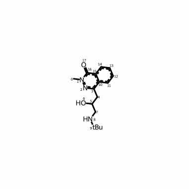 Cn1nc(CC(O)CNC(C)(C)C)c2ccccc2c1=O